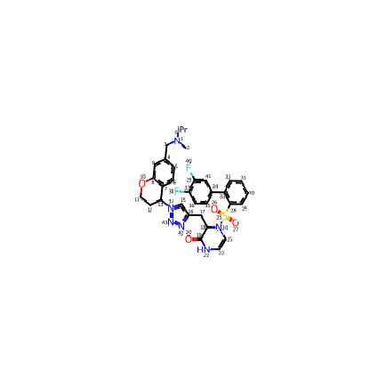 CC(C)N(C)Cc1ccc2c(c1)OCCC2n1cc(CC2C(=O)NC=CN2S(=O)(=O)c2ccccc2-c2ccc(F)c(F)c2)nn1